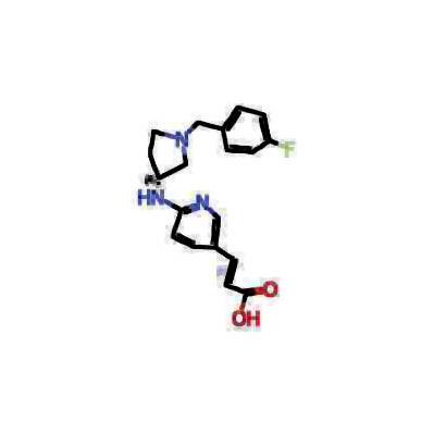 O=C(O)/C=C/c1ccc(N[C@@H]2CCN(Cc3ccc(F)cc3)C2)nc1